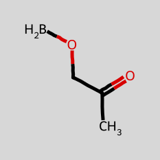 BOCC(C)=O